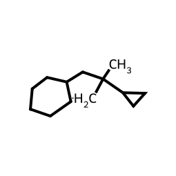 [CH2]C(C)(CC1CCCCC1)C1CC1